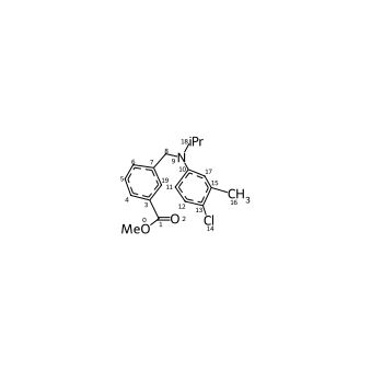 COC(=O)c1cccc(CN(c2ccc(Cl)c(C)c2)C(C)C)c1